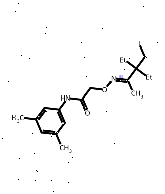 CCC(CC)(CI)/C(C)=N/OCC(=O)Nc1cc(C)cc(C)c1